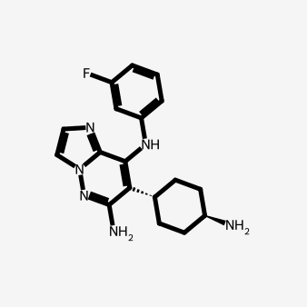 Nc1nn2ccnc2c(Nc2cccc(F)c2)c1[C@H]1CC[C@H](N)CC1